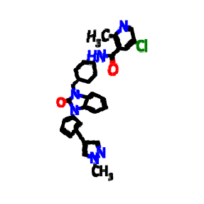 Cc1ncc(Cl)cc1C(=O)N[C@H]1CC[C@H](Cn2c(=O)n(-c3cccc(-c4cnn(C)c4)c3)c3ccccc32)CC1